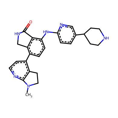 CN1CCc2c(-c3ccc(Nc4ccc(C5CCNCC5)cn4)c4c3CNC4=O)ccnc21